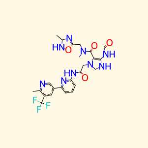 Cc1ncc(-c2cccc(NC(=O)CN3CNC(NC=O)=C3C(=O)N(C)CC3=NC(C)NO3)n2)cc1C(F)(F)F